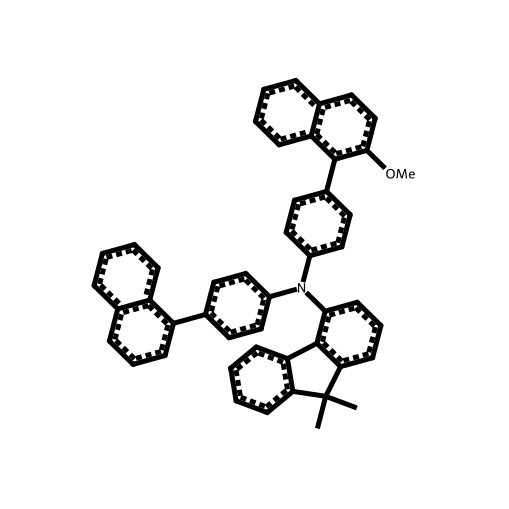 COc1ccc2ccccc2c1-c1ccc(N(c2ccc(-c3cccc4ccccc34)cc2)c2cccc3c2-c2ccccc2C3(C)C)cc1